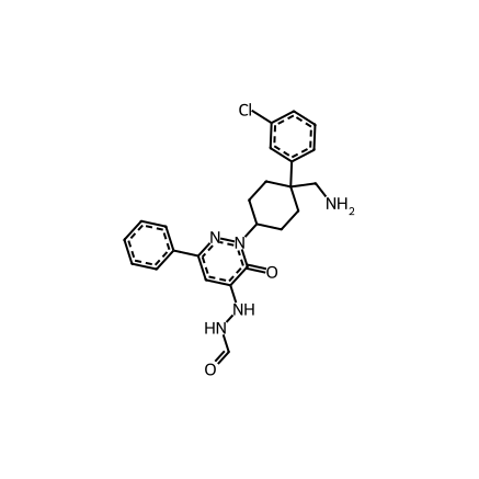 NCC1(c2cccc(Cl)c2)CCC(n2nc(-c3ccccc3)cc(NNC=O)c2=O)CC1